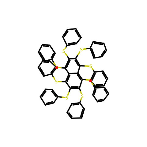 c1ccc(Sc2c(Sc3ccccc3)c(Sc3ccccc3)c3c(Sc4ccccc4)c(Sc4ccccc4)c(Sc4ccccc4)c(Sc4ccccc4)c3c2Sc2ccccc2)cc1